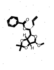 C=CC[C@@H](OC(=O)c1ccccc1)[C@H]1O[C@@H](OC)[C@@H]2OC(C)(C)O[C@@H]21